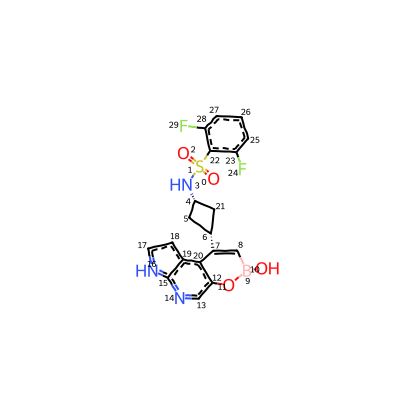 O=S(=O)(N[C@H]1C[C@@H](C2=CB(O)Oc3cnc4[nH]ccc4c32)C1)c1c(F)cccc1F